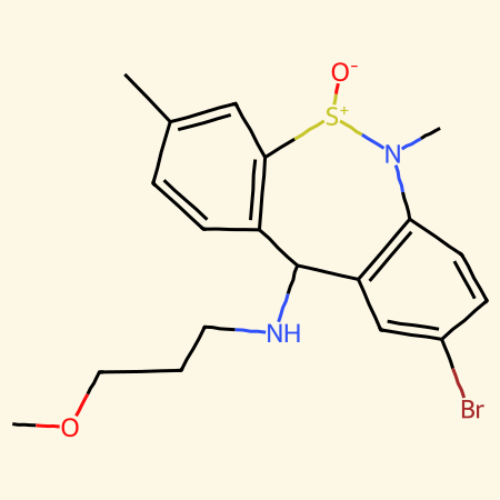 COCCCNC1c2cc(Br)ccc2N(C)[S+]([O-])c2cc(C)ccc21